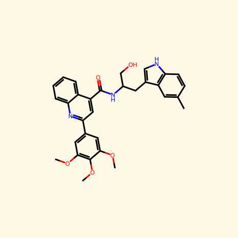 COc1cc(-c2cc(C(=O)NC(CO)Cc3c[nH]c4ccc(C)cc34)c3ccccc3n2)cc(OC)c1OC